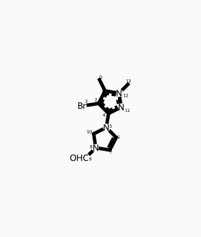 Cc1c(Br)c(N2C=CN(C=O)C2)nn1C